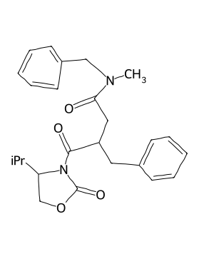 CC(C)C1COC(=O)N1C(=O)C(CC(=O)N(C)Cc1ccccc1)Cc1ccccc1